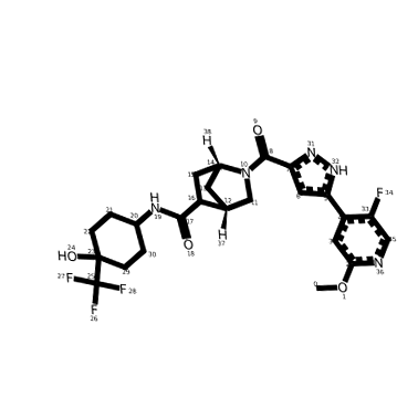 COc1cc(-c2cc(C(=O)N3C[C@H]4C[C@@H]3CC4C(=O)NC3CCC(O)(C(F)(F)F)CC3)n[nH]2)c(F)cn1